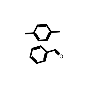 Cc1ccc(C)cc1.O=Cc1ccccc1